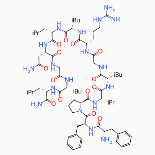 CC[C@H](C)[C@H](NC(=O)CNC(=O)[C@H](CC(N)=O)NC(=O)[C@H](CC(C)C)NC(=O)[C@@H](NC(=O)[C@H](CCCNC(=N)N)NC(=O)CNC(=O)[C@@H](NC(=O)[C@@H](NC(=O)[C@@H]1CCCN1C(=O)[C@H](Cc1ccccc1)NC(=O)[C@@H](N)Cc1ccccc1)C(C)C)[C@@H](C)CC)[C@@H](C)CC)C(=O)N[C@@H](CC(C)C)C(N)=O